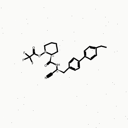 CCc1ccc(-c2ccc(C[C@@H](C#N)NC(=O)[C@@H]3CCCCN3OC(=O)C(F)(F)F)cc2)cc1